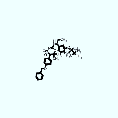 CC[C@H](NC1=NS(=O)(=O)C(c2ccc(OCc3ccccc3)cc2)C(C)(C)O1)c1cccc(O[Si](C)(C)C(C)(C)C)c1